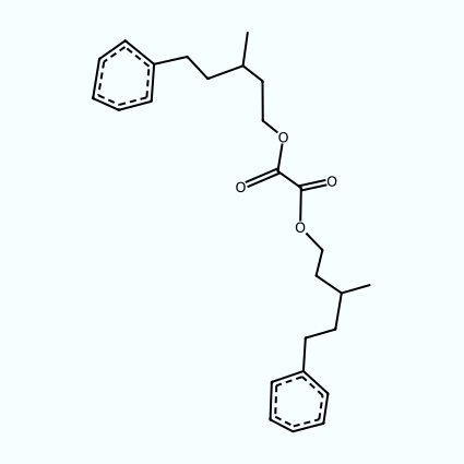 CC(CCOC(=O)C(=O)OCCC(C)CCc1ccccc1)CCc1ccccc1